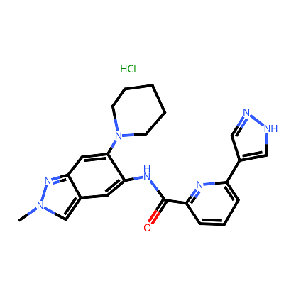 Cl.Cn1cc2cc(NC(=O)c3cccc(-c4cn[nH]c4)n3)c(N3CCCCC3)cc2n1